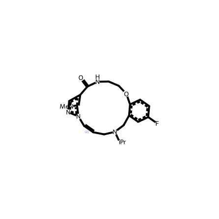 CNc1c2cnn1/C=C\CN(C(C)C)Cc1cc(F)ccc1OCCNC2=O